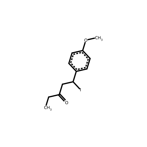 CCC(=O)CC(I)c1ccc(OC)cc1